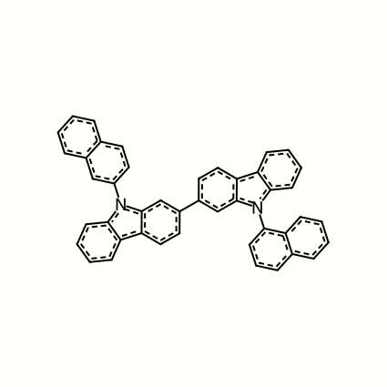 c1ccc2cc(-n3c4ccccc4c4ccc(-c5ccc6c7ccccc7n(-c7cccc8ccccc78)c6c5)cc43)ccc2c1